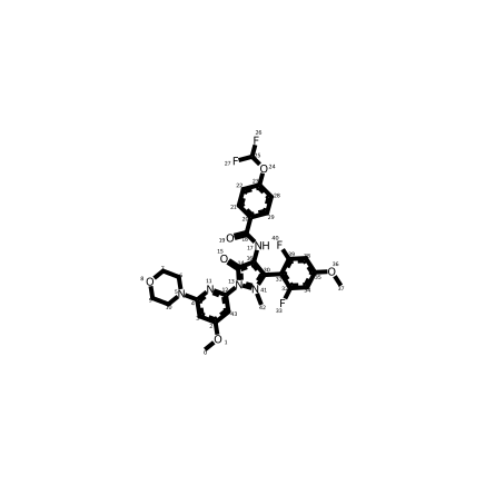 COc1cc(N2CCOCC2)nc(-n2c(=O)c(NC(=O)c3ccc(OC(F)F)cc3)c(-c3c(F)cc(OC)cc3F)n2C)c1